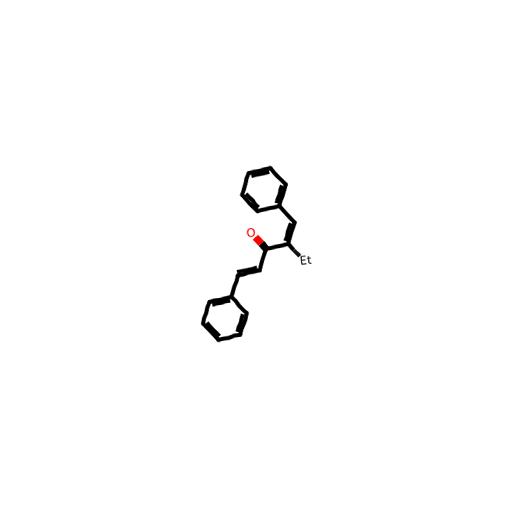 CCC(=Cc1ccccc1)C(=O)C=Cc1ccccc1